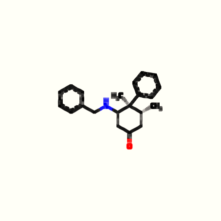 C[C@@H]1CC(=O)CC(NCc2ccccc2)[C@@]1(C)c1ccccc1